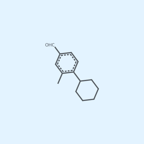 Cc1cc(C=O)ccc1C1CCCCC1